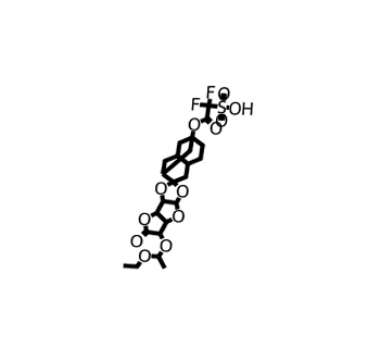 CCOC(C)OC1C(=O)OC2C3OC4(CC5CCC6(OC(=O)C(F)(F)S(=O)(=O)O)CC5CC4C6)OC3OC12